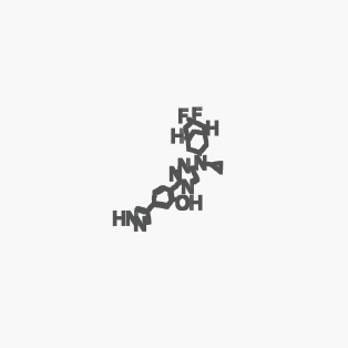 Oc1cc(-c2cn[nH]c2)ccc1-c1ncc(N(C2CC2)[C@H]2C[C@H]3C[C@@H](C2)CC(F)(F)C3)nn1